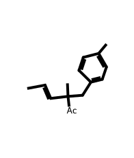 CC=CC(C)(Cc1ccc(C)cc1)C(C)=O